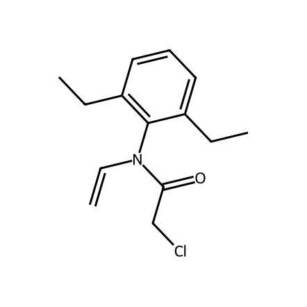 C=CN(C(=O)CCl)c1c(CC)cccc1CC